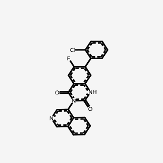 O=c1[nH]c2cc(-c3ccccc3Cl)c(F)cc2c(=O)n1-c1cncc2ccccc12